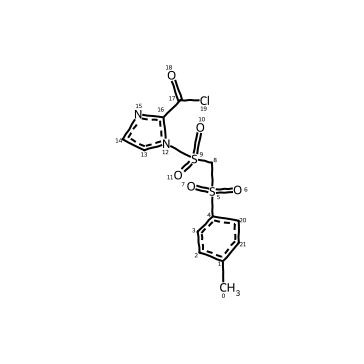 Cc1ccc(S(=O)(=O)CS(=O)(=O)n2ccnc2C(=O)Cl)cc1